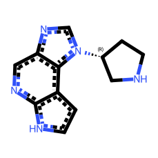 c1cc2c(ncc3ncn([C@@H]4CCNC4)c32)[nH]1